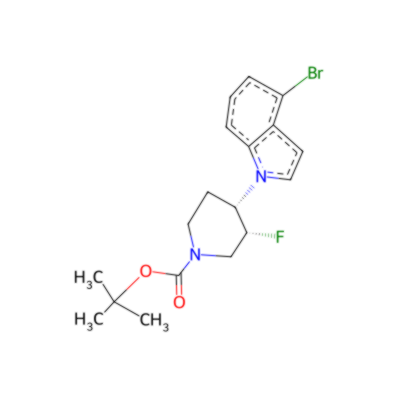 CC(C)(C)OC(=O)N1CC[C@H](n2ccc3c(Br)cccc32)[C@H](F)C1